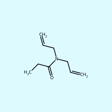 C=CCN(CC=C)C(=O)CC